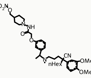 CCCCCCC(C#N)(CCCN(C)C(C)c1cccc(OCC(=O)NN2CCC(CO[N+](=O)[O-])CC2)c1)c1ccc(OC)c(OC)c1